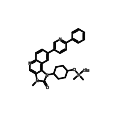 Cn1c(=O)n(C2CCC(O[Si](C)(C)C(C)(C)C)CC2)c2c3cc(-c4ccc(-c5ccccc5)nc4)ccc3ncc21